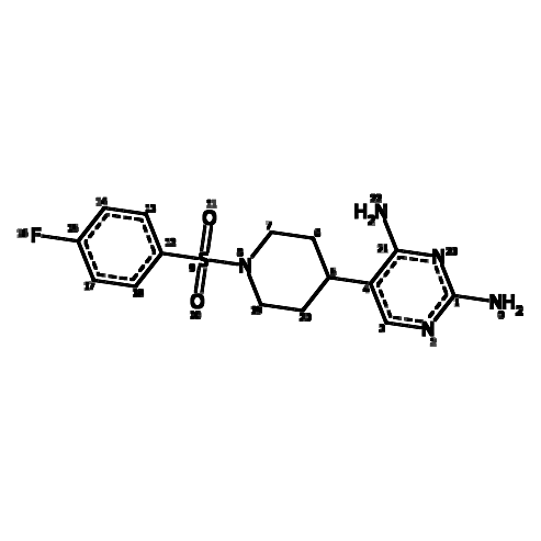 Nc1ncc(C2CCN(S(=O)(=O)c3ccc(F)cc3)CC2)c(N)n1